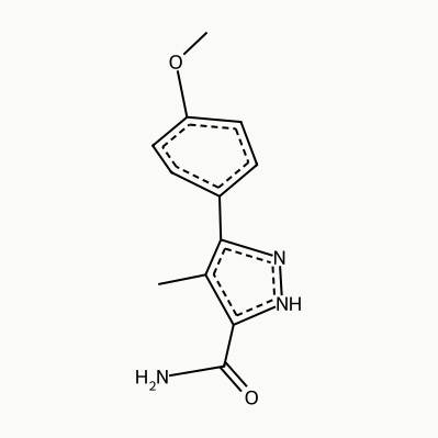 COc1ccc(-c2n[nH]c(C(N)=O)c2C)cc1